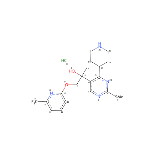 CSc1ncc(C(C)(O)COc2cccc(C(F)(F)F)n2)c(C2CCNCC2)n1.Cl